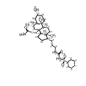 CC[C@H]1[C@@H](CC(=O)NC)[C@@H]2[C@H](CC[C@]3(C)[C@@H](CCCNC(=O)NS(=O)(=O)C4CCCCC4)CC[C@@H]23)[C@@]2(C)CC[C@@H](O)C[C@@H]12